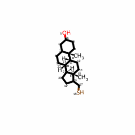 C[C@]12CCC(O)CC1CC[C@@H]1[C@H]2CC[C@]2(C)C(CS)CC[C@@H]12